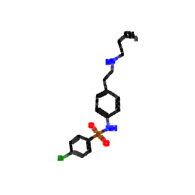 CCCNCCc1ccc(NS(=O)(=O)c2ccc(Br)cc2)cc1